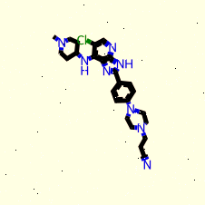 CN1CCC(Nc2c(Cl)cnc3[nH]c(-c4ccc(N5CCN(CCC#N)CC5)cc4)nc23)CC1